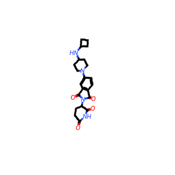 O=C1CCC(N2C(=O)c3ccc(N4CCC(NC5CCC5)CC4)cc3C2=O)C(=O)N1